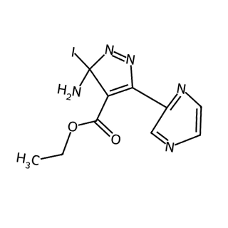 CCOC(=O)C1=C(c2cnccn2)N=NC1(N)I